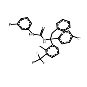 Cc1c(C(F)(F)F)cccc1C(Cc1ccccc1)(NC(=O)Nc1cccc(F)c1)c1ccc(Cl)cn1